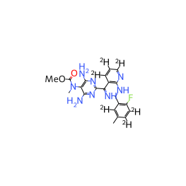 [2H]c1nc(NCc2c([2H])c(C)c([2H])c([2H])c2F)c(C(=N)c2nc(N)c(N(C)C(=O)OC)c(N)n2)c([2H])c1[2H]